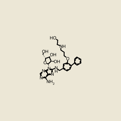 Nc1ncnc2c1nc(NCc1ccc(-c3ccccc3)c(OCCCNCCO)c1)n2[C@@H]1O[C@H](CO)[C@@H](O)[C@H]1O